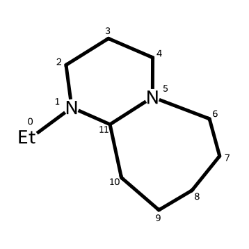 CCN1CCCN2CCCCCC12